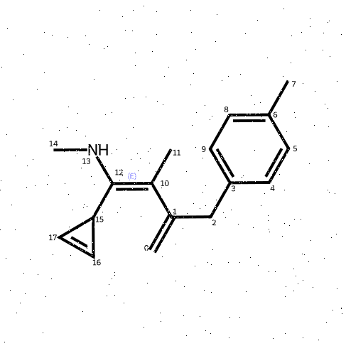 C=C(Cc1ccc(C)cc1)/C(C)=C(/NC)C1C=C1